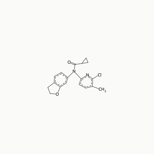 Cc1ccc(N(C(=O)C2CC2)c2ccc3c(c2)OCC3)nc1Cl